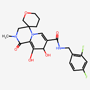 CN1CC2(CCCOC2)N2C=C(C(=O)NCc3ccc(F)cc3F)C(O)C(O)=C2C1=O